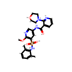 COc1ncc(NC(=O)c2cccnc2N2CCOCC2)cc1S(=O)(=O)Nc1c(C)cccc1C